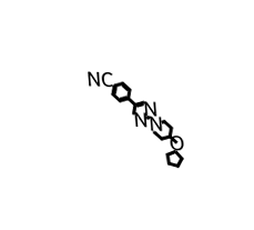 N#Cc1ccc(-c2cnc(N3CCC(OC4CCCC4)CC3)nc2)cc1